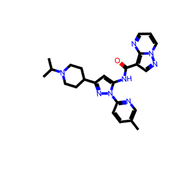 Cc1ccc(-n2nc(C3CCN(C(C)C)CC3)cc2NC(=O)c2cnn3cccnc23)nc1